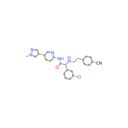 Cn1cc(-c2ccc(NC(=O)[C@@H](NCCc3ccc(C#N)cc3)c3cccc(Cl)c3)nc2)cn1